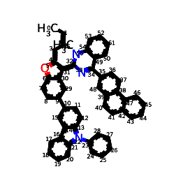 C\C=C/C=c1/oc2ccc(-c3ccc4c(c3)c3ccccc3n4-c3ccccc3)cc2/c1=C1\N=C(c2ccc3c(ccc4ccccc43)c2)c2ccccc2N1C